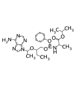 CCC(CO[P@@](NC(C)C(=O)OC(C)C)Oc1ccccc1)OC(C)n1cnc2c(N)ncnc21